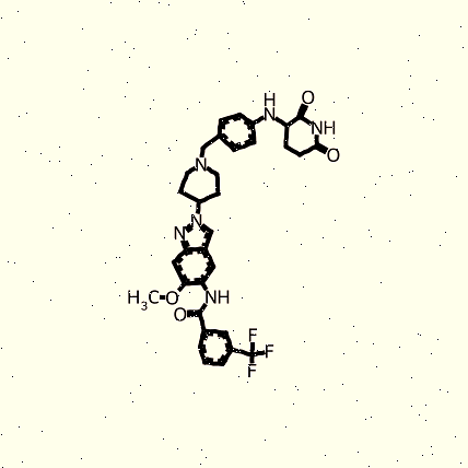 COc1cc2nn(C3CCN(Cc4ccc(NC5CCC(=O)NC5=O)cc4)CC3)cc2cc1NC(=O)c1cccc(C(F)(F)F)c1